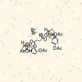 CC(=O)Oc1ccc(OC(C)=O)c(C[N+]2(C)[C@@H]3CC[C@H]2CC(OC(=O)CCC(=O)OC2C[C@H]4CC[C@@H](C2)[N+]4(C)Cc2cc(OC(C)=O)ccc2OC(C)=O)C3)c1.[Br-].[Br-]